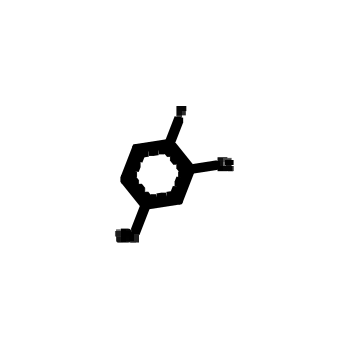 CCc1cc(C(C)(C)C)ccc1F